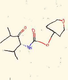 CC(C)C(=O)[C@H](NC(=O)OC1CCOCC1)C(C)C